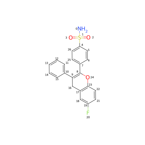 NS(=O)(=O)c1ccc(C2=C(c3ccccc3)Cc3cc(F)ccc3O2)cc1